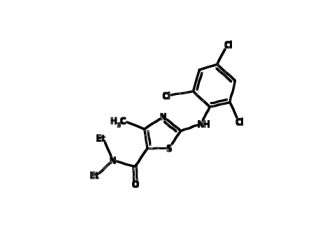 CCN(CC)C(=O)c1sc(Nc2c(Cl)cc(Cl)cc2Cl)nc1C